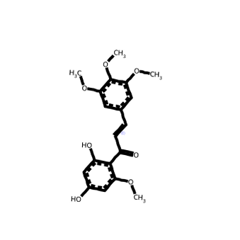 COc1cc(/C=C/C(=O)c2c(O)cc(O)cc2OC)cc(OC)c1OC